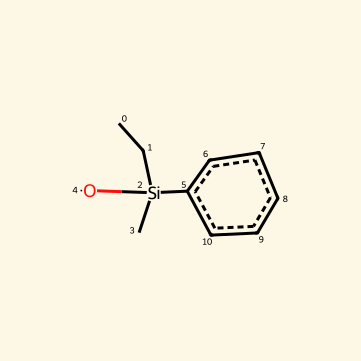 CC[Si](C)([O])c1ccccc1